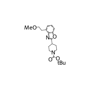 COCCc1cccc2oc(C3CCN(C(=O)OC(C)(C)C)CC3)nc12